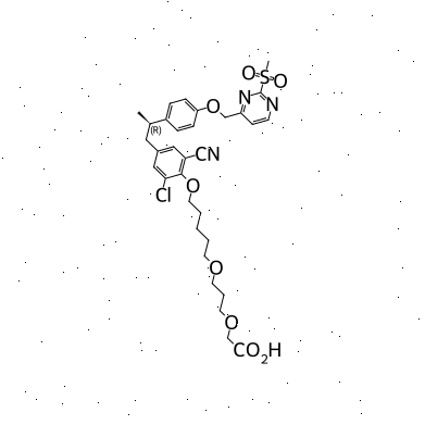 C[C@H](Cc1cc(Cl)c(OCCCCCOCCCOCC(=O)O)c(C#N)c1)c1ccc(OCc2ccnc(S(C)(=O)=O)n2)cc1